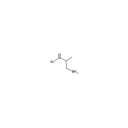 BCC(C)NC(C)=O